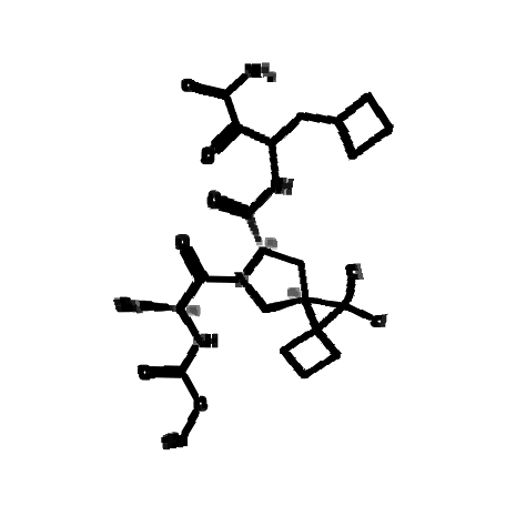 CC(C)(C)OC(=O)N[C@H](C(=O)N1C[C@@]2(C[C@H]1C(=O)NC(CC1CCC1)C(=O)C(N)=O)C(Cl)(Cl)C21CCC1)C(C)(C)C